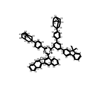 CC1(C)c2ccccc2-c2ccc(-c3cc(-c4ccc(C56CC7CC(CC(C7)C5)C6)cc4)cc(-c4nc(-c5ccc(C67CC8CC(CC(C8)C6)C7)cc5)nc(-c5c6ccccc6cc6c5oc5cc7ccccc7cc56)n4)c3)cc21